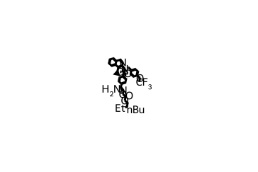 CCCCC(CC)COC(=O)O/N=C(\N)c1ccc(S(=O)(=O)N(Cc2ccc(OC(F)(F)F)cc2)c2ncc3ccccc3c2C2CC2)cc1